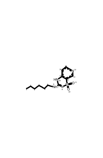 CCCCCCNC1=NS(=O)(=O)c2cnccc2N1